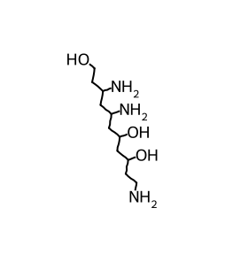 NCCC(O)CC(O)CC(N)CC(N)CCO